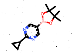 CC1(C)OB(c2cnc(C3CC3)nc2)OC1(C)C